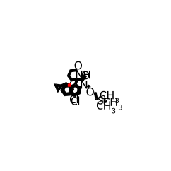 C[Si](C)(C)CCOCN1C(=O)[C@@]2(NC(=O)CC[C@@H]2c2cccc(Cl)c2)c2c(CC3CC3)cc(Cl)cc21